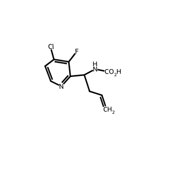 C=CCC(NC(=O)O)c1nccc(Cl)c1F